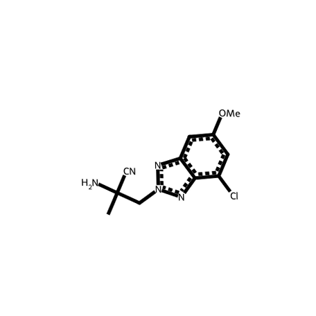 COc1cc(Cl)c2nn(CC(C)(N)C#N)nc2c1